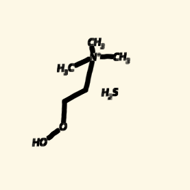 C[N+](C)(C)CCOO.S